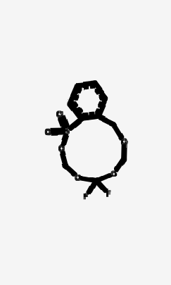 O=S1(=O)OCOC(F)(F)OCOCc2ccccc21